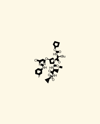 C=C[C@@H]1C[C@]1(NC(=O)[C@@H]1C[C@@H](Oc2cc(Cl)nc(Nc3cccc(F)c3)n2)CN1C(=O)[C@@H](NC(=O)OC1CCCC1)C(C)(C)C)C(=O)NS(=O)(=O)C1CC1